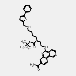 CC(C)(C)OC(=O)N(CCCCNCc1ncc(-c2ccccc2)s1)CCNc1nc2cc(C(N)=O)ccc2c2cnccc12